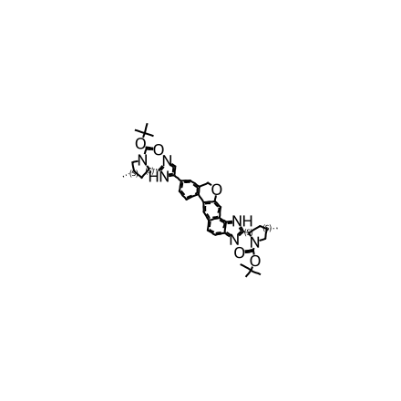 C[C@H]1C[C@@H](c2ncc(-c3ccc4c(c3)COc3cc5c(ccc6nc([C@@H]7C[C@H](C)CN7C(=O)OC(C)(C)C)[nH]c65)cc3-4)[nH]2)N(C(=O)OC(C)(C)C)C1